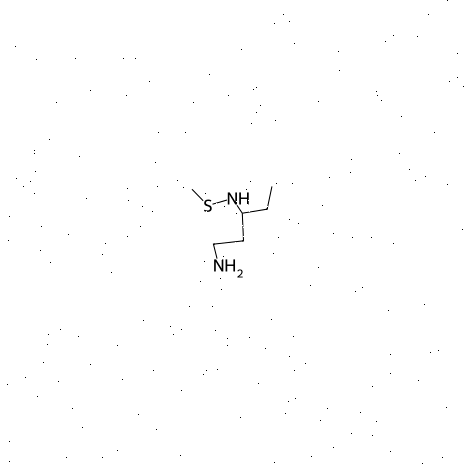 CCC(CCN)NSC